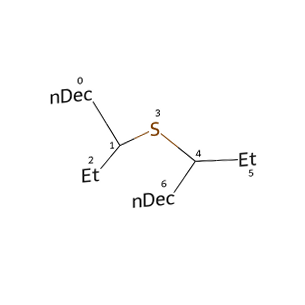 CCCCCCCCCCC(CC)SC(CC)CCCCCCCCCC